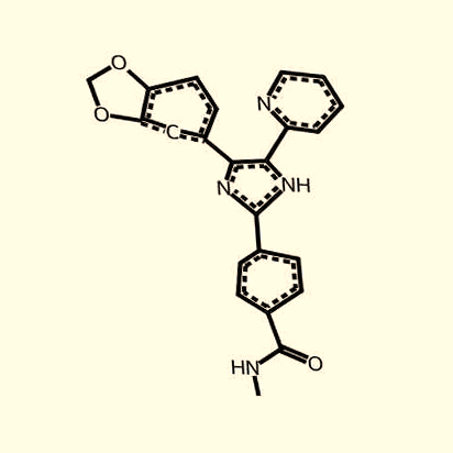 CNC(=O)c1ccc(-c2nc(-c3ccc4c(c3)OCO4)c(-c3ccccn3)[nH]2)cc1